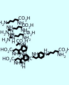 C[C@H](N)C(=O)O.N=C(N)NCCC[C@H](N)C(=O)O.N=C(N)NCCC[C@H](N)C(=O)O.NCCCC[C@H](N)C(=O)O.NCCCC[C@H](N)C(=O)O.N[C@@H](Cc1c[nH]c2ccccc12)C(=O)O.N[C@@H](Cc1c[nH]c2ccccc12)C(=O)O.N[C@@H](Cc1ccccc1)C(=O)O